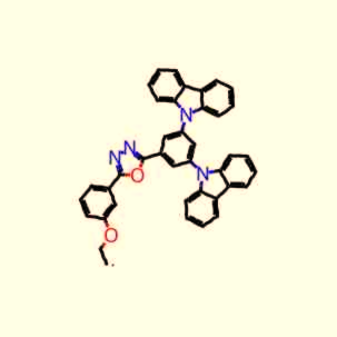 [CH2]COc1cccc(-c2nnc(-c3cc(-n4c5ccccc5c5ccccc54)cc(-n4c5ccccc5c5ccccc54)c3)o2)c1